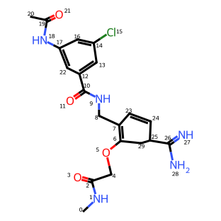 CNC(=O)COC1=C(CNC(=O)c2cc(Cl)cc(NC(C)=O)c2)C=CC(C(=N)N)C1